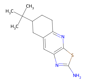 CC(C)(C)C1CCc2nc3sc(N)nc3cc2C1